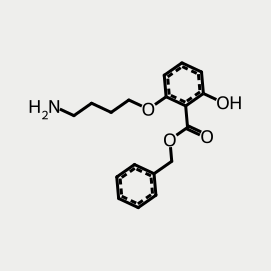 NCCCCOc1cccc(O)c1C(=O)OCc1ccccc1